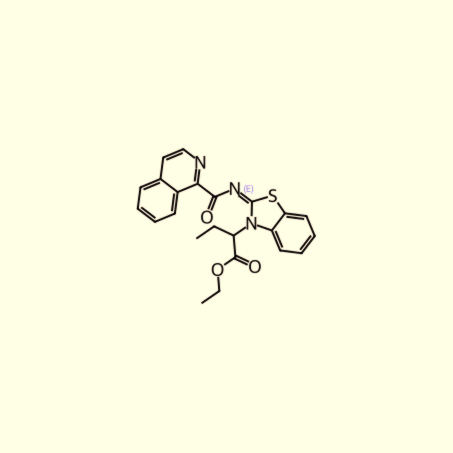 CCOC(=O)C(CC)n1/c(=N\C(=O)c2nccc3ccccc23)sc2ccccc21